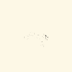 CCCCc1cn(-c2ccccc2CC)c(=O)n1Cc1ccc(-c2ccncc2-c2nnn[nH]2)cc1